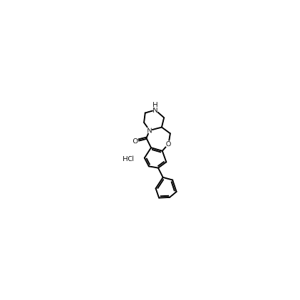 Cl.O=C1c2ccc(-c3ccccc3)cc2OCC2CNCCN12